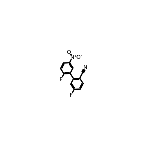 N#Cc1ccc(F)cc1-c1cc([N+](=O)[O-])ccc1F